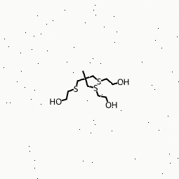 CC(CSCCO)(CSCCO)CSCCO